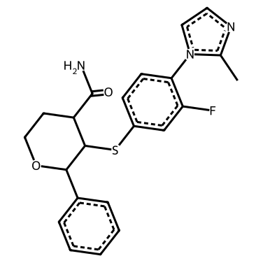 Cc1nccn1-c1ccc(SC2C(C(N)=O)CCOC2c2ccccc2)cc1F